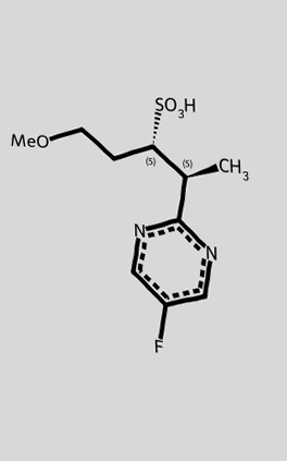 COCC[C@@H]([C@@H](C)c1ncc(F)cn1)S(=O)(=O)O